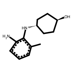 Cc1cccc(N)c1N[C@H]1CC[C@H](O)CC1